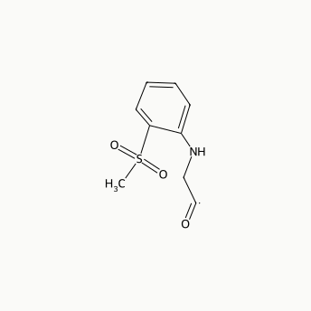 CS(=O)(=O)c1ccccc1NC[C]=O